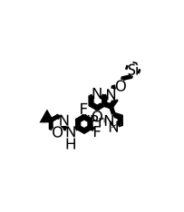 CC(C)n1nccc1-c1cn(COCC[Si](C)(C)C)c2nccc(Oc3c(F)cc(NC4=NCC5(CC5)CO4)cc3F)c12